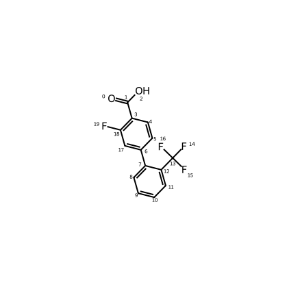 O=C(O)c1ccc(-c2ccccc2C(F)(F)F)cc1F